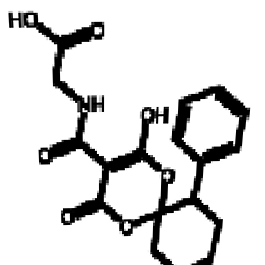 O=C(O)CNC(=O)C1=C(O)OC2(CCCCC2c2ccccc2)OC1=O